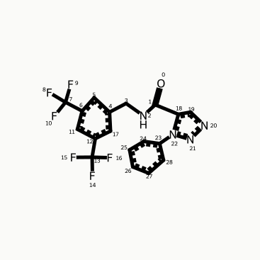 O=C(NCc1cc(C(F)(F)F)cc(C(F)(F)F)c1)c1cnnn1-c1ccccc1